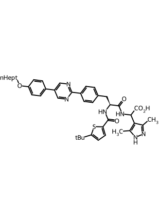 CCCCCCCOc1ccc(-c2cnc(-c3ccc(C[C@H](NC(=O)c4ccc(C(C)(C)C)s4)C(=O)NC(C(=O)O)c4c(C)n[nH]c4C)cc3)nc2)cc1